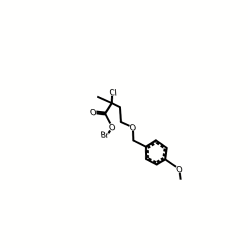 COc1ccc(COCCC(C)(Cl)C(=O)OBr)cc1